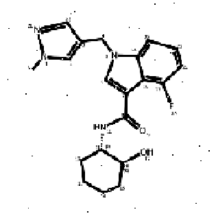 Cn1cc(Cn2cc(C(=O)N[C@H]3CCCC[C@@H]3O)c3c(F)cccc32)cn1